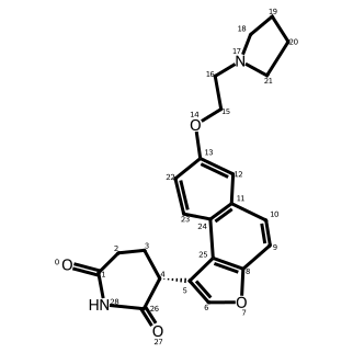 O=C1CC[C@H](c2coc3ccc4cc(OCCN5CCCC5)ccc4c23)C(=O)N1